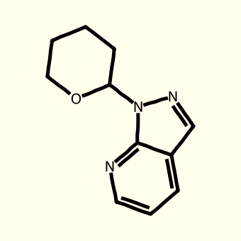 c1cnc2c(c1)cnn2C1CCCCO1